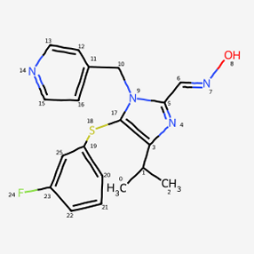 CC(C)c1nc(C=NO)n(Cc2ccncc2)c1Sc1cccc(F)c1